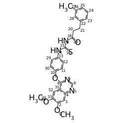 COc1cc2ncnc(Oc3ccc(NC(=S)NC(=O)CCc4cccc(C)c4)cc3)c2cc1OC